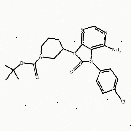 CC(C)(C)OC(=O)N1CCCC(n2c(=O)n(-c3ccc(Cl)cc3)c3c(N)ncnc32)C1